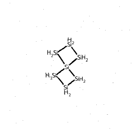 [SiH2]1[SiH2][Si]2([SiH2]1)[SiH2][SiH2][SiH2]2